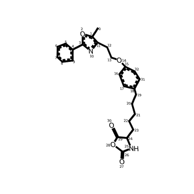 Cc1oc(-c2ccccc2)nc1CCOc1ccc(CCCCCC2NC(=O)OC2=O)cc1